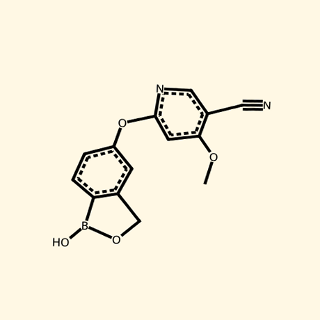 COc1cc(Oc2ccc3c(c2)COB3O)ncc1C#N